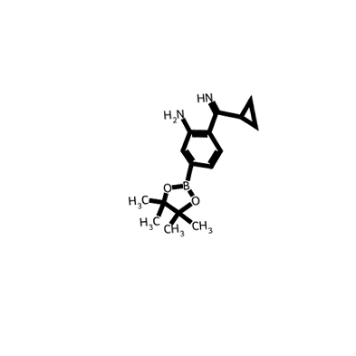 CC1(C)OB(c2ccc(C(=N)C3CC3)c(N)c2)OC1(C)C